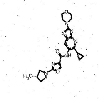 C[C@H]1CCN(c2nc(C(=O)Nc3cc4sc(N5CCOCC5)nc4nc3C3CC3)co2)C1